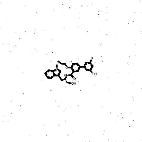 CCCOc1ccc(-c2cc(O)cc(F)c2)cc1C(=O)N[C@@H](CO)Cc1cn(C)c2ccccc12